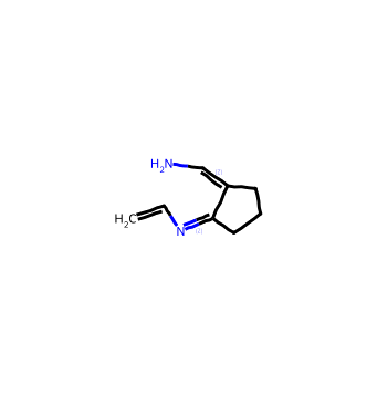 C=C/N=C1/CCC/C1=C/N